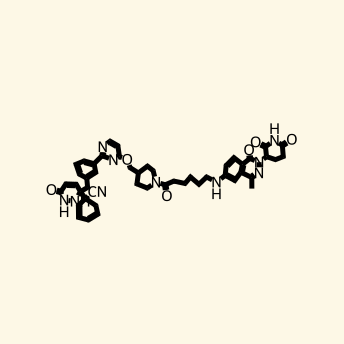 Cc1nn(C2CCC(=O)NC2=O)c(=O)c2ccc(NCCCCCC(=O)N3CCC(COc4ccnc(-c5cccc(CC6(C7(C#N)C=CC=CC7)C=CC(=O)NN6)c5)n4)CC3)cc12